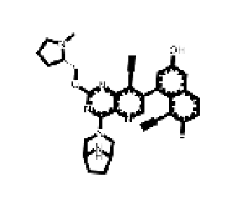 C#Cc1c(-c2cc(O)cc3ccc(F)c(C#C)c23)cnc2c(N3CC4CCC(C3)N4)nc(OC[C@@H]3CCCN3C)nc12